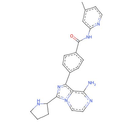 Cc1ccnc(NC(=O)c2ccc(-c3nc(C4CCCN4)n4ccnc(N)c34)cc2)c1